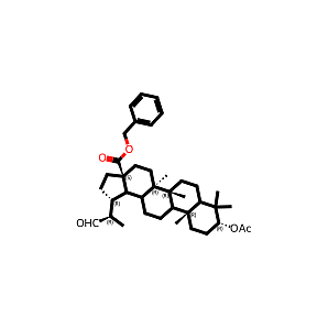 CC(=O)O[C@@H]1CC[C@@]2(C)C(CC[C@]3(C)C2CCC2C4[C@H]([C@@H](C)C=O)CC[C@]4(C(=O)OCc4ccccc4)CC[C@]23C)C1(C)C